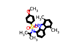 COc1ccc(S(=O)(=O)N(c2cccc3c2[nH]c2c(C)ccc(C)c23)C(C)C)cc1